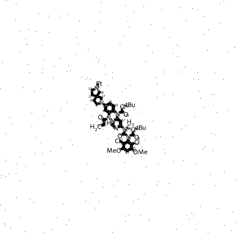 C=CC(=O)Nc1cc(N2CCC3(CCN(CC)C3)C2)ccc1N(C(=O)OC(C)(C)C)c1cc(N(C)C(=O)N(C(=O)OC(C)(C)C)c2c(Cl)c(OC)cc(OC)c2Cl)ncn1